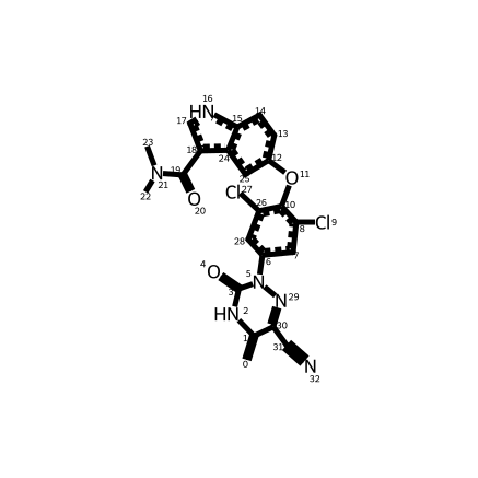 C=C1NC(=O)N(c2cc(Cl)c(Oc3ccc4[nH]cc(C(=O)N(C)C)c4c3)c(Cl)c2)N=C1C#N